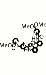 COC(=O)[C@@H]1CCCCN1Cc1ccc(C(=O)Nc2cccc(-c3cccc(NC(=O)c4ccc(C(OC)OC)cn4)c3Cl)c2Cl)nc1